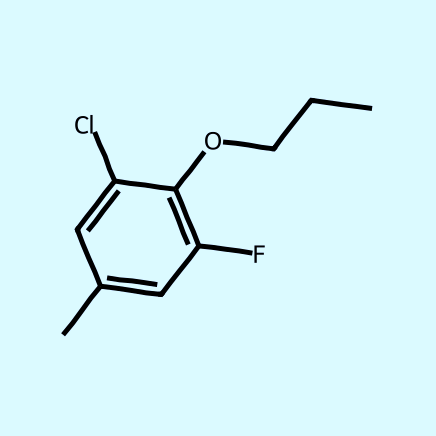 CCCOc1c(F)cc(C)cc1Cl